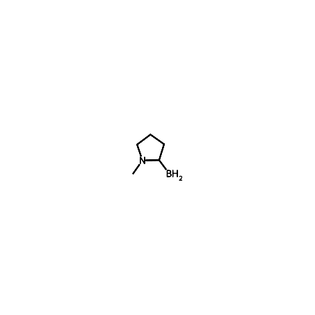 BC1CCCN1C